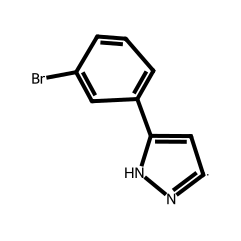 Brc1cccc(-c2c[c]n[nH]2)c1